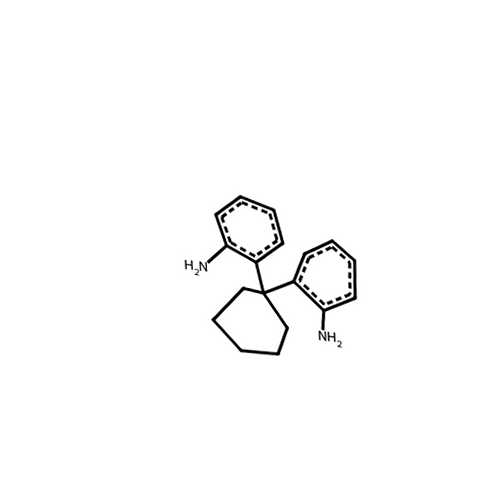 Nc1ccccc1C1(c2ccccc2N)CCCCC1